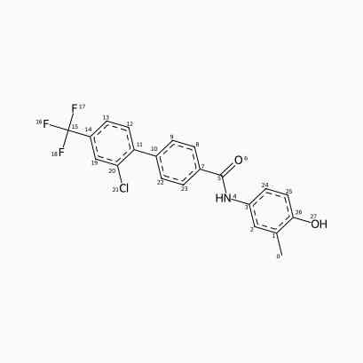 Cc1cc(NC(=O)c2ccc(-c3ccc(C(F)(F)F)cc3Cl)cc2)ccc1O